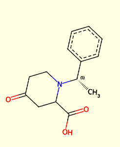 C[C@@H](c1ccccc1)N1CCC(=O)CC1C(=O)O